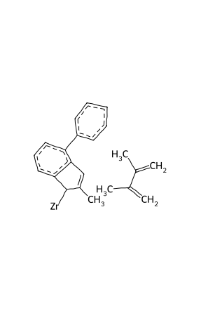 C=C(C)C(=C)C.CC1=Cc2c(-c3ccccc3)cccc2[CH]1[Zr]